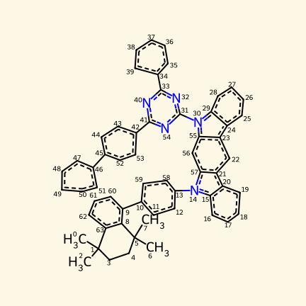 CC1(C)CCC(C)(C)c2c(-c3ccc(-n4c5ccccc5c5cc6c7ccccc7n(-c7nc(-c8ccccc8)nc(-c8ccc(-c9ccccc9)cc8)n7)c6cc54)cc3)cccc21